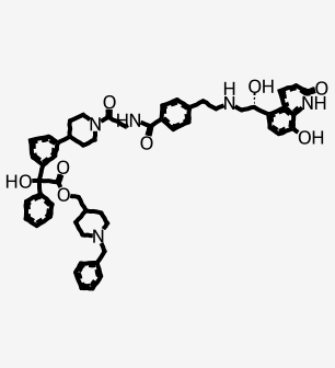 O=C(NCC(=O)N1CCC(c2cccc(C(O)(C(=O)OCC3CCN(Cc4ccccc4)CC3)c3ccccc3)c2)CC1)c1ccc(CCNC[C@H](O)c2ccc(O)c3[nH]c(=O)ccc23)cc1